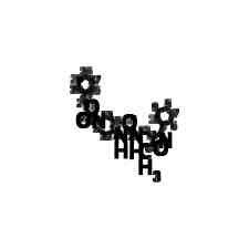 Cc1onc(-c2ccccc2)c1CNC(=O)NC1CCN(C(=O)OCc2ccccc2)CC1